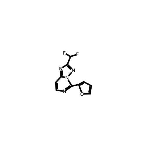 FC(F)c1nc2ccnc(-c3ccco3)n2n1